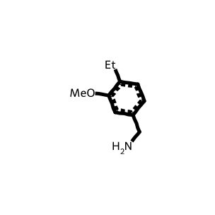 CCc1ccc(CN)cc1OC